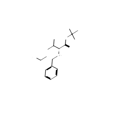 CC(C)[C@H](N[C@@H](CCO)c1ccccc1)C(=O)OC(C)(C)C